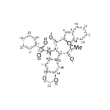 COC(=O)c1c(C(=O)c2cc3ccccc3o2)n(S(=O)(=O)c2ccccc2)c2cc3c(cc12)OCO3